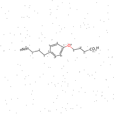 CCCCCCCCCCCCc1ccc(OCCCC(=O)O)cc1